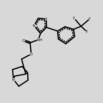 O=C(Nc1ncsc1-c1cccc(C(F)(F)F)c1)OCC1CN2CCC1CC2